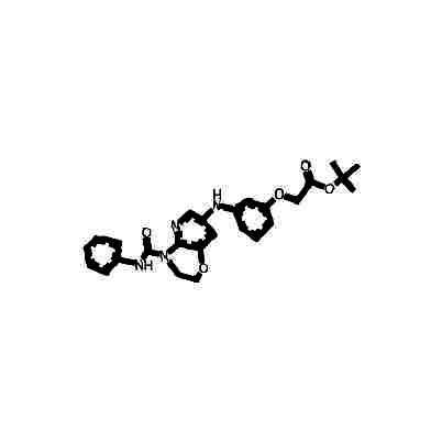 CC(C)(C)OC(=O)COc1cccc(Nc2cnc3c(c2)OCCN3C(=O)Nc2ccccc2)c1